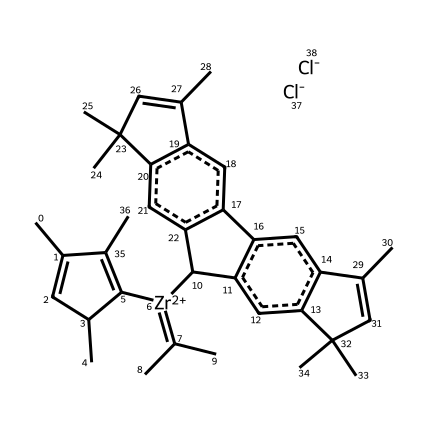 CC1=CC(C)[C]([Zr+2](=[C](C)C)[CH]2c3cc4c(cc3-c3cc5c(cc32)C(C)(C)C=C5C)C(C)=CC4(C)C)=C1C.[Cl-].[Cl-]